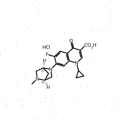 CN1C[C@@H]2C[C@H]1CN2c1cc2c(cc1F)c(=O)c(C(=O)O)cn2C1CC1.Cl